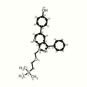 C[Si](C)(C)CCOCn1nc(-c2ccccc2)c2cc(-c3ccc(O)cc3)cnc21